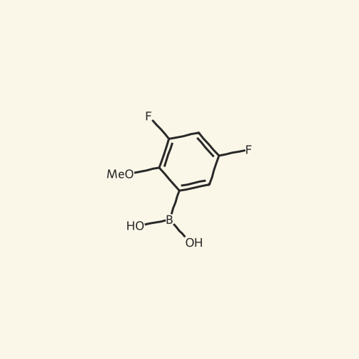 COc1c(F)cc(F)cc1B(O)O